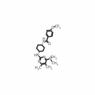 Cc1nc(N[C@H]2CC[C@@H](NC(=O)c3ccc(OC(F)(F)F)cc3)CC2)nc(N(C)C)c1C